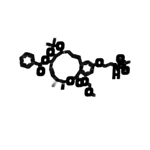 COCOc1cc(OCCNS(C)(=O)=O)cc2c1C(=O)O[C@@H](C)[C@H](C)/C=C\C(OC(=O)c1ccccc1)C1OC(C)(C)OC1C/C=C/2